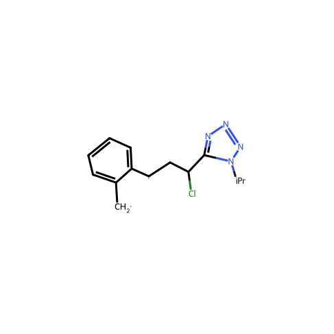 [CH2]c1ccccc1[CH]CC(Cl)c1nnnn1C(C)C